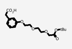 CC(C)(C)OC(=O)COCCOCCOc1cccc(CC(=O)O)c1